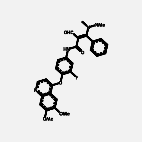 CNN(C)/C(=C(\C=O)C(=O)Nc1ccc(Oc2ccnc3cc(OC)c(OC)cc23)c(F)c1)c1ccccc1